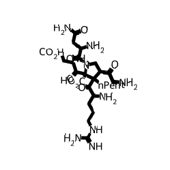 CCCCCC1(C(=O)C(N)CCCNC(=N)N)C(C(=O)CN)CN(C(=O)C(N)CC(N)=O)C1(C(=O)O)C(=O)C(N)CC(=O)O